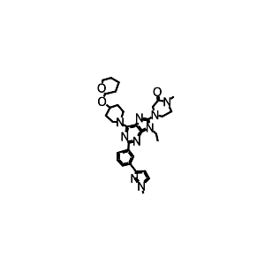 CCn1c(N2CCN(C)C(=O)C2)nc2c(N3CCC(OC4CCCCO4)CC3)nc(-c3cccc(-c4ccn(C)n4)c3)nc21